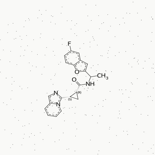 CC(NC(=O)[C@@H]1C[C@@H]1c1ncc2ccccn12)c1cc2cc(F)ccc2o1